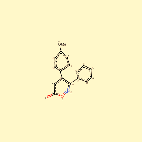 COc1ccc(-c2cc(=O)onc2-c2ccccc2)cc1